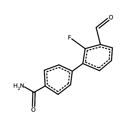 NC(=O)c1ccc(-c2cccc(C=O)c2F)cc1